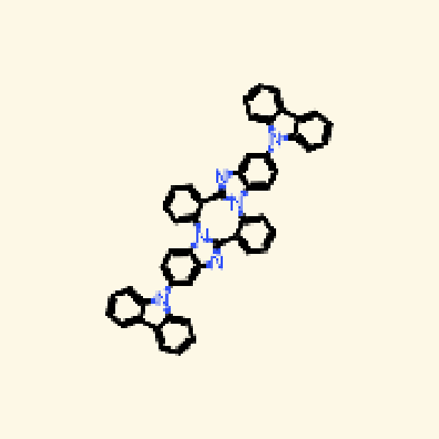 c1ccc2c(c1)c1ccccc1n2-c1ccc2c(c1)nc1c3ccccc3n3c4ccc(-n5c6ccccc6c6ccccc65)cc4nc3c3ccccc3n21